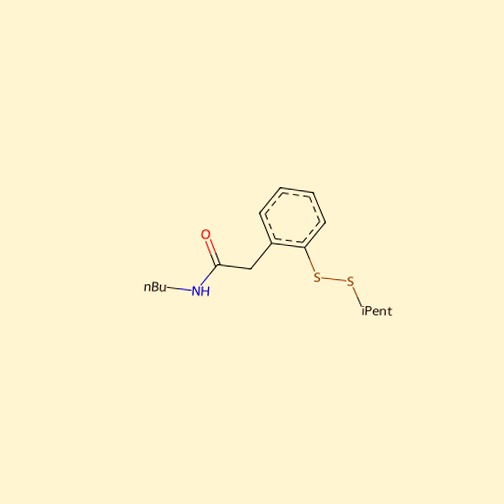 CCCCNC(=O)Cc1ccccc1SSC(C)CCC